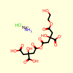 Cl.N.O=C(O)CC(O)(CC(=O)OC(=O)CC(O)(CC(=O)OCCO)C(=O)[O-])C(=O)O.[Na+]